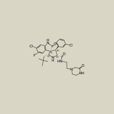 CC(C)(C)C[C@H]1N[C@@H](C(=O)NCCN2CCNC(=O)C2)[C@H](c2cccc(Cl)c2)[C@@]12C(=O)Nc1cc(Cl)c(F)cc12